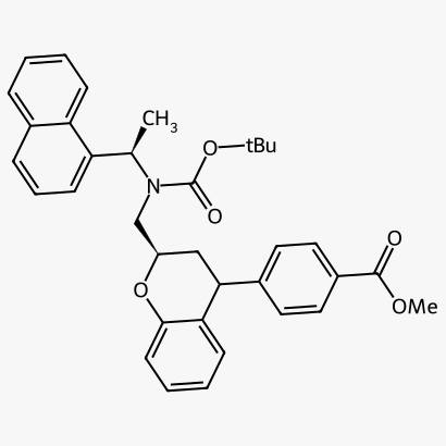 COC(=O)c1ccc(C2C[C@H](CN(C(=O)OC(C)(C)C)[C@H](C)c3cccc4ccccc34)Oc3ccccc32)cc1